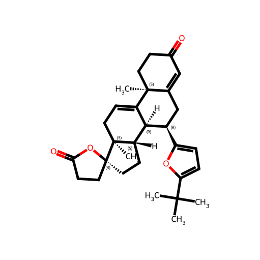 CC(C)(C)c1ccc([C@@H]2CC3=CC(=O)CC[C@]3(C)C3=CC[C@@]4(C)[C@@H](CC[C@@]45CCC(=O)O5)[C@@H]32)o1